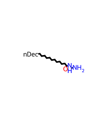 CCCCCCCCCCCCCCCCCCCCCC(=O)NCN